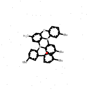 Cc1cc2c3c(c1)N(c1ccc(C(C)(C)C)cc1-c1ccc(C(C)(C)C)cc1)c1ccc(C(C)(C)C)cc1B3c1cc(C(C)(C)C)ccc1O2